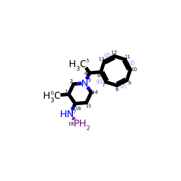 CC1CN(C(C)C2=C/C=C\C=C/C=C\2)CCC1NP